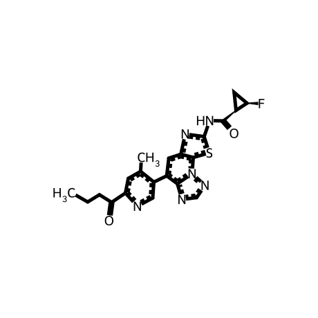 CCCC(=O)c1cc(C)c(-c2cc3nc(NC(=O)[C@H]4C[C@H]4F)sc3n3ncnc23)cn1